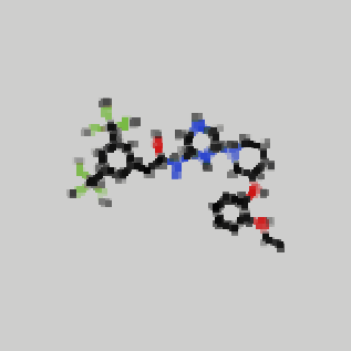 CCOc1ccccc1OC1CCCN(c2cncc(NC(=O)Cc3cc(C(F)(F)F)cc(C(F)(F)F)c3)n2)C1